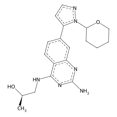 C[C@@H](O)CNc1nc(N)nc2cc(-c3ccnn3C3CCCCO3)ccc12